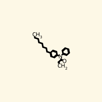 C=CC(=O)N(c1ccccc1)c1ccc(CCCCCCCC)cc1